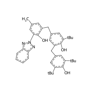 Cc1cc(Cc2cc(Cc3cc(C(C)(C)C)c(O)c(C(C)(C)C)c3)c(O)c(C(C)(C)C)c2)c(O)c(-n2nc3ccccc3n2)c1